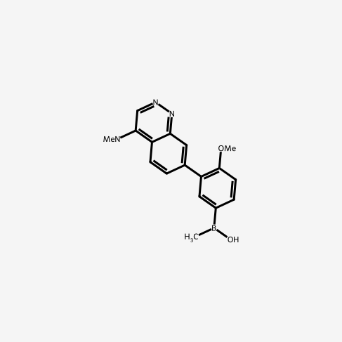 CNc1cnnc2cc(-c3cc(B(C)O)ccc3OC)ccc12